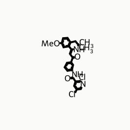 COc1ccc2c(c1)C(=CC(=O)c1cccc(NC(=O)c3cc(Cl)cnc3Cl)c1)NC(C)(C)C2